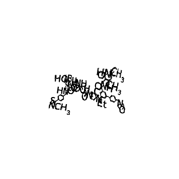 CCN(c1cc(-c2ccc(CN3CCOCC3)cc2)cc(C(=O)NCc2c(C)cc(C)[nH]c2=O)c1C)C1CCN(C(=O)COCC(=O)N[C@H](C(=O)N2C[C@@H](O)C[C@H]2C(=O)NCc2ccc(-c3scnc3C)cc2)C(C)(C)C)CC1